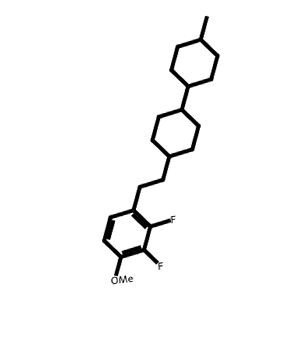 COc1ccc(CCC2CCC(C3CCC(C)CC3)CC2)c(F)c1F